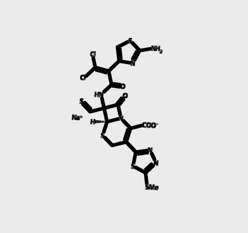 CSc1nnc(C2=C(C(=O)[O-])N3C(=O)C(C=S)(NC(=O)C(=C(Cl)Cl)c4csc(N)n4)[C@@H]3SC2)s1.[Na+]